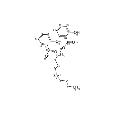 CCC[CH2][Sn+2][CH2]CCC.O=C([O-])c1ccccc1O.O=C([O-])c1ccccc1O